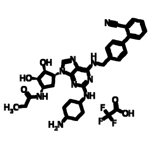 CCC(=O)N[C@H]1C[C@@H](n2cnc3c(NCc4ccc(-c5ccccc5C#N)cc4)nc(NC4CCC(N)CC4)nc32)[C@H](O)[C@@H]1O.O=C(O)C(F)(F)F